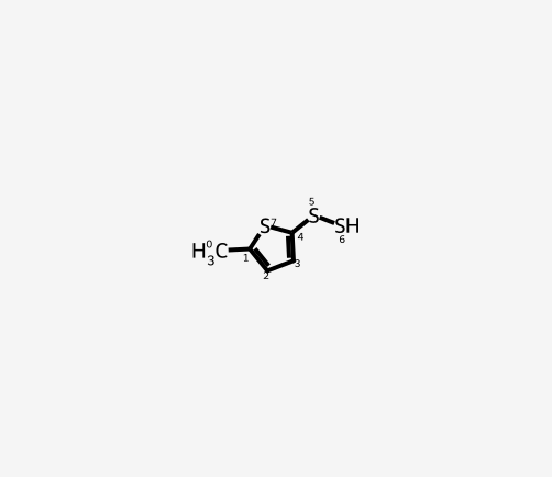 Cc1ccc(SS)s1